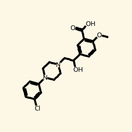 COc1ccc(C(O)CN2CCN(c3cccc(Cl)c3)CC2)cc1C(=O)O